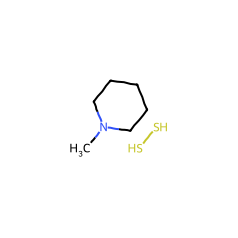 CN1CCCCC1.SS